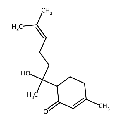 CC(C)=CCCC(C)(O)C1CCC(C)=CC1=O